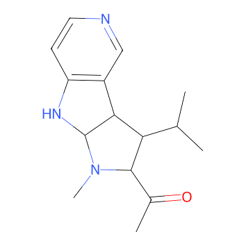 CC(=O)C1C(C(C)C)C2c3cnccc3NC2N1C